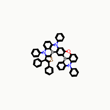 c1ccc(-c2sc3c(c2-c2ccccc2)N(c2ccccc2)c2cccc4c2B3c2cc3c(cc2N4c2ccccc2)Oc2cccc4c2B3c2ccccc2N4c2ccccc2)cc1